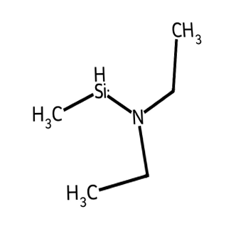 CCN(CC)[SiH]C